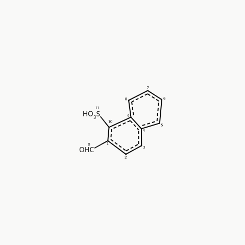 O=Cc1ccc2ccccc2c1S(=O)(=O)O